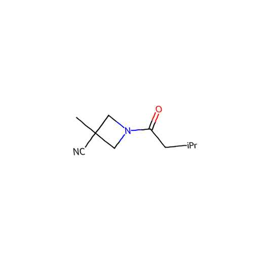 CC(C)CC(=O)N1CC(C)(C#N)C1